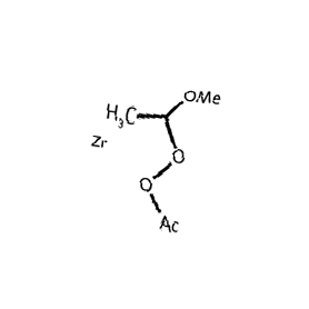 COC(C)OOC(C)=O.[Zr]